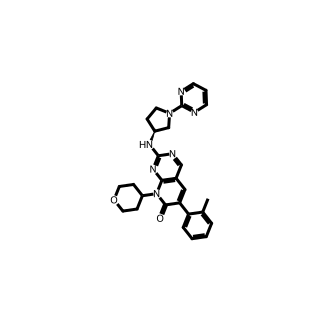 Cc1ccccc1-c1cc2cnc(N[C@H]3CCN(c4ncccn4)C3)nc2n(C2CCOCC2)c1=O